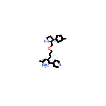 C/C(N)=C/C(CCCOCC1NCC[C@@H]1c1ccc(C)cc1)=C(\N)c1ccncc1